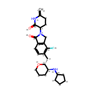 C=C1CCC(N2Cc3c(ccc(C[C@H]4OCCC[C@@H]4NC4CCCC4)c3F)C2=O)C(=O)N1